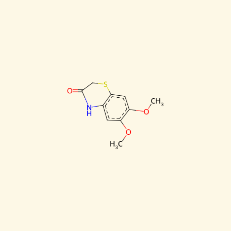 COc1cc2c(cc1OC)SCC(=O)N2